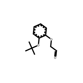 CC(C)(C)Oc1ccccc1OC[C]=O